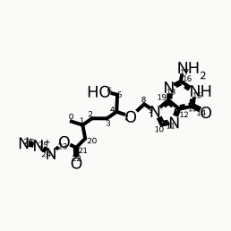 CC(CCC(CO)OCn1cnc2c(=O)[nH]c(N)nc21)CC(=O)ON=[N+]=[N-]